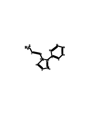 CC=Cn1ccnc1-c1ccccc1